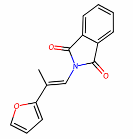 CC(=CN1C(=O)c2ccccc2C1=O)c1ccco1